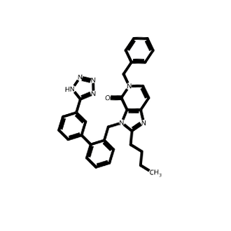 CCCCc1nc2ccn(Cc3ccccc3)c(=O)c2n1Cc1ccccc1-c1cccc(-c2nnn[nH]2)c1